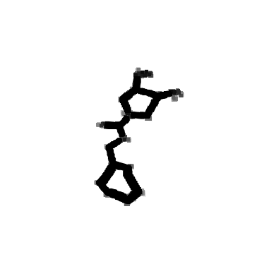 COC1CN(C(=O)OCc2ccccc2)CC1N